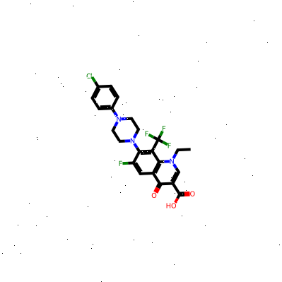 CCn1cc(C(=O)O)c(=O)c2cc(F)c(N3CCN(c4ccc(Cl)cc4)CC3)c(C(F)(F)F)c21